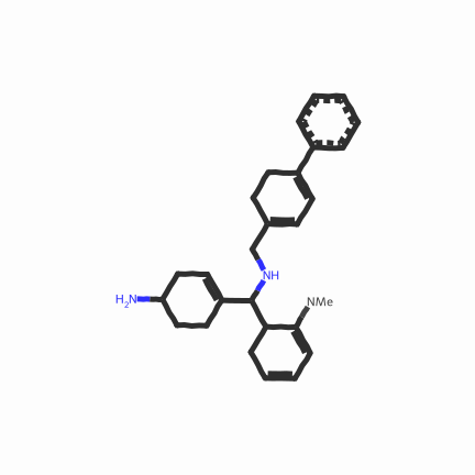 CNC1=CC=CCC1C(NCC1=CC=C(c2ccccc2)CC1)C1=CCC(N)CC1